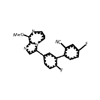 COc1nccn2c(-c3ccc(F)c(-c4ccc(F)cc4C#N)c3)cnc12